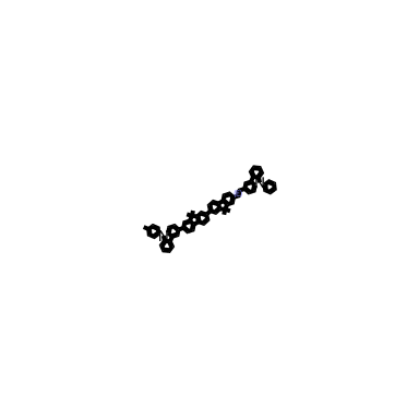 Cc1ccc(-n2c3ccccc3c3cc(-c4ccc5c(c4)C(C)(C)c4cc(-c6ccc7c(c6)C(C)(C)c6cc(/C=C/c8ccc9c(c8)c8ccccc8n9-c8ccccc8)ccc6-7)ccc4-5)ccc32)cc1